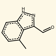 Cc1cccc2[nH]nc(C=O)c12